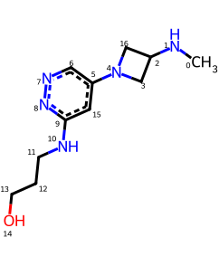 CNC1CN(c2cnnc(NCCCO)c2)C1